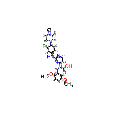 COc1ccc(OC)c(CN(C(=O)O)c2ccnc(Nc3ccc(N4CCN(C)CC4)c(F)c3)n2)c1